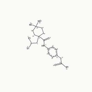 CCC(CC)CC1(C(=O)Nc2ccc(SC(=O)C(C)C)cc2)CCC(C#N)(N=O)CC1